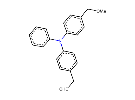 COCc1ccc(N(c2ccccc2)c2ccc(CC=O)cc2)cc1